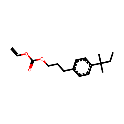 C=COC(=O)OCCCc1ccc(C(C)(C)CC)cc1